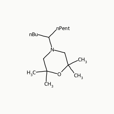 CCCCCC(CCCC)N1CC(C)(C)OC(C)(C)C1